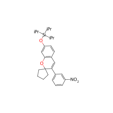 CC(C)[Si](Oc1ccc2c(c1)OC1(CCCC1)C(c1cccc([N+](=O)[O-])c1)=C2)(C(C)C)C(C)C